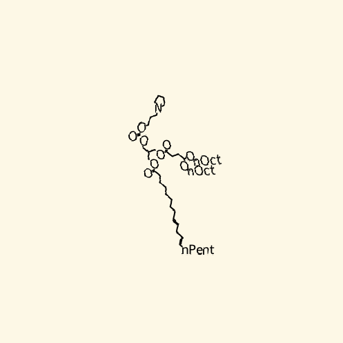 CCCCCC=CCC=CCCCCCCCC(=O)OCC(COC(=O)CCC(OCCCCCCCC)OCCCCCCCC)COC(=O)OCCCN1CCCC1